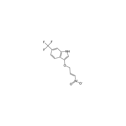 O=[N+]([O-])C=CCOc1c[nH]c2cc(C(F)(F)F)ccc12